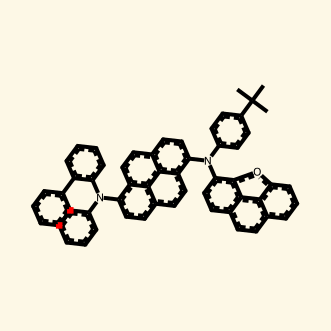 CC(C)(C)c1ccc(N(c2ccc3ccc4c(N(c5ccccc5)c5ccccc5-c5ccccc5)ccc5ccc2c3c54)c2ccc3ccc4cccc5oc2c3c45)cc1